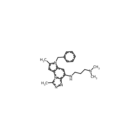 Cc1cc2c(cc(NCCCN(C)C)c3nnc(C)n32)n1Cc1ccccc1